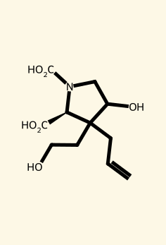 C=CCC1(CCO)C(O)CN(C(=O)O)[C@@H]1C(=O)O